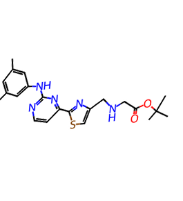 Cc1cc(C)cc(Nc2nccc(-c3nc(CNCC(=O)OC(C)(C)C)cs3)n2)c1